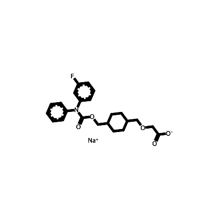 O=C([O-])COCC1CCC(COC(=O)N(c2ccccc2)c2cccc(F)c2)CC1.[Na+]